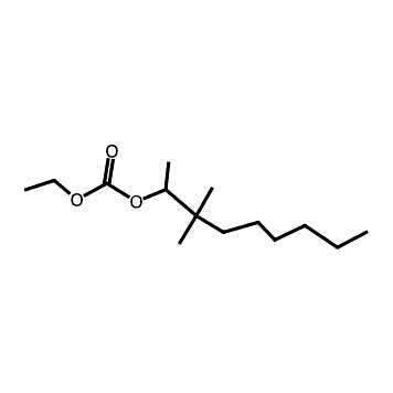 CCCCCCC(C)(C)C(C)OC(=O)OCC